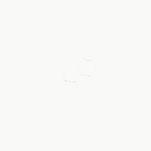 O=[C]C(=O)C(=O)c1ccccc1Cl